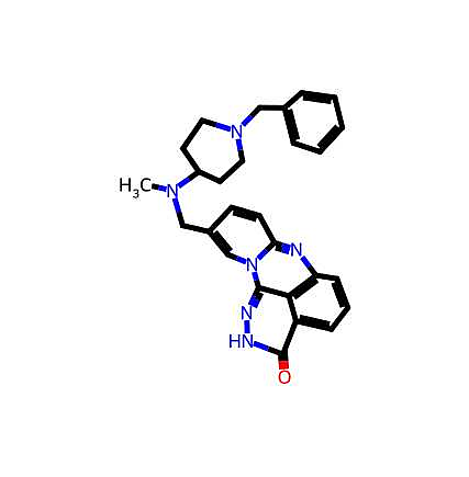 CN(CC1=CN2C(=Nc3cccc4c(=O)[nH]nc2c34)C=C1)C1CCN(Cc2ccccc2)CC1